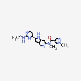 CN(C(=O)c1cnn(C)c1)c1cc2[nH]c(-c3ccnc(NCC(F)(F)F)n3)cc2cn1